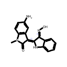 CN1C(=O)/C(=C2\Nc3ccccc3\C2=N/O)c2cc(N)ccc21